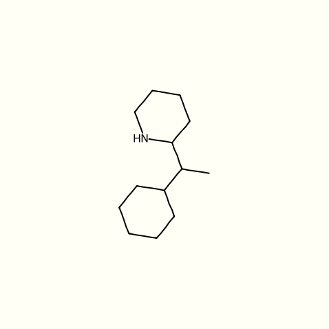 CC(C1CCCCC1)C1CCCCN1